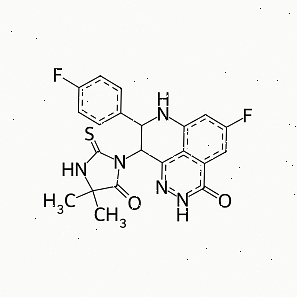 CC1(C)NC(=S)N(C2c3n[nH]c(=O)c4cc(F)cc(c34)NC2c2ccc(F)cc2)C1=O